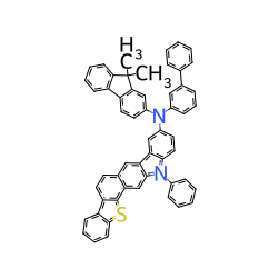 CC1(C)c2ccccc2-c2ccc(N(c3cccc(-c4ccccc4)c3)c3ccc4c(c3)c3cc5ccc6c7ccccc7sc6c5cc3n4-c3ccccc3)cc21